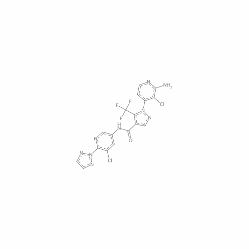 Nc1nccc(-n2ncc(C(=O)Nc3cnc(-n4nccn4)c(Cl)c3)c2C(F)(F)F)c1Cl